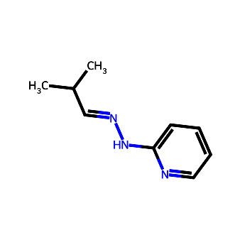 CC(C)C=NNc1ccccn1